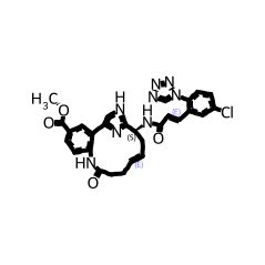 COC(=O)c1ccc2c(c1)-c1c[nH]c(n1)[C@@H](NC(=O)/C=C/c1cc(Cl)ccc1-n1cnnn1)C/C=C/CCC(=O)N2